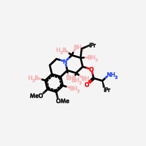 Bc1c2c(c(B)c(OC)c1OC)C1(B)N(CC2)C(B)(B)C(B)(CC(C)C)C(OC(=O)[C@@H](N)C(C)C)C1(B)B